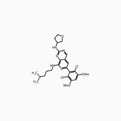 COc1cc(OC)c(Cl)c(-c2cc3cnc(NC4CCOC4)nc3c(NCCCN(C)C)n2)c1Cl